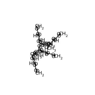 C=CC(=O)OCCCCCOC(=O)NCCCCNC(=O)OCC(CC)(CC)CCOC(=O)OCCC(CC)(CCCC(=O)OCCC(CC)(CCOC(=O)OCCC(CC)(CCC)COC(=O)NCCCCNC(=O)OCCCCCOC(=O)C=C)COC(=O)NCCCCNC(=O)OCCCCCOC(=O)C=C)COC(=O)NCCCCNC(=O)OCCCCCOC(=O)C=C